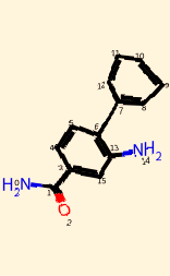 NC(=O)c1ccc(-c2ccccc2)c(N)c1